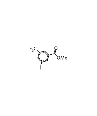 COC(=O)c1cc(I)cc(C(F)(F)F)c1